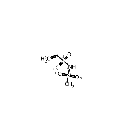 C=CS(=O)(=O)NS(C)(=O)=O